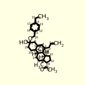 C=CCC1C=C2CC(O)(OCc3ccc(CC)cc3)CC[C@]2(C)[C@H]2CC[C@]3(C)[C@@H](C(C)=O)CC[C@H]3[C@H]12